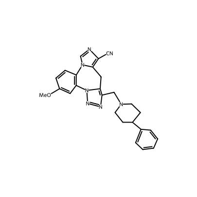 COc1ccc2c(c1)-n1nnc(CN3CCC(c4ccccc4)CC3)c1Cc1c(C#N)ncn1-2